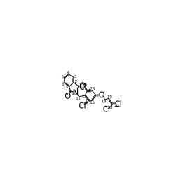 O=C1c2ccccc2C(=O)N1Cc1c(Cl)cc(OCC=C(Cl)Cl)cc1Cl